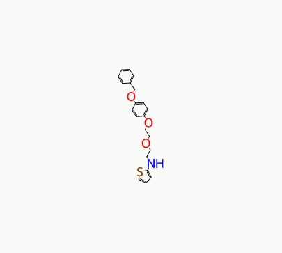 c1ccc(COc2ccc(OCCOCCNc3cccs3)cc2)cc1